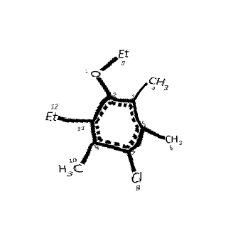 CCOc1c(C)c(C)c(Cl)c(C)c1CC